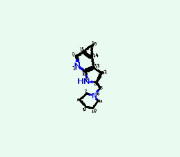 c1nc2[nH]c(CN3CCCCC3)cc2c2c1C2